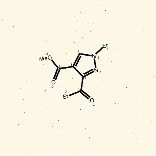 CCC(=O)c1nn(CC)cc1C(=O)OC